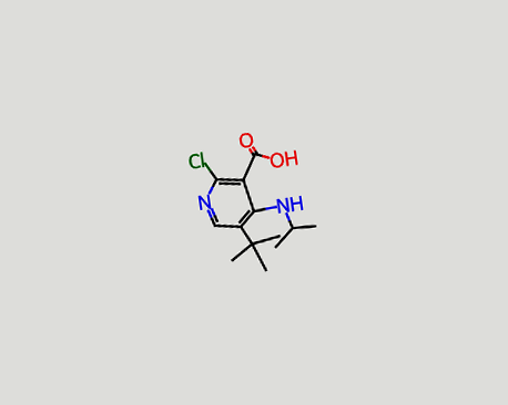 CC(C)Nc1c(C(C)(C)C)cnc(Cl)c1C(=O)O